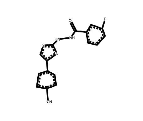 N#Cc1ccc(-c2csc(NNC(=O)c3cccc(F)c3)n2)cc1